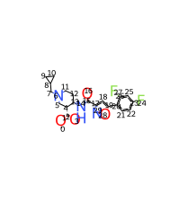 COC(=O)[C@@H]1CN(CC2CC2)CC[C@H]1NC(=O)c1cc(-c2ccc(F)cc2F)on1